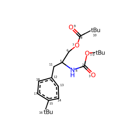 CC(C)(C)OC(=O)NC(COC(=O)C(C)(C)C)Cc1ccc(C(C)(C)C)cc1